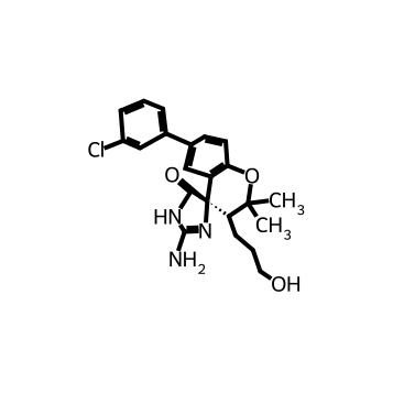 CC1(C)Oc2ccc(-c3cccc(Cl)c3)cc2[C@]2(N=C(N)NC2=O)C1CCCO